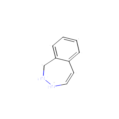 C1=Cc2ccccc2CNN1